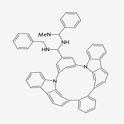 CNC(NC(NCc1ccccc1)c1cc2cc(c1)n1c3ccccc3c3ccc(cc31)c1ccccc1c1ccc3c4ccccc4n2c3c1)c1ccccc1